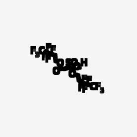 O=C(CC(C(=O)OCCC(F)(F)C(F)(F)C(F)(F)F)S(=O)(=O)O)OCCC(F)(F)C(F)(F)C(F)(F)F